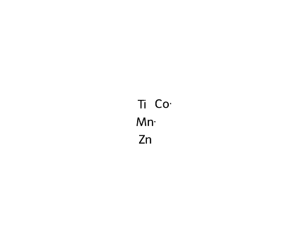 [Co].[Mn].[Ti].[Zn]